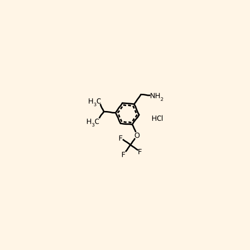 CC(C)c1cc(CN)cc(OC(F)(F)F)c1.Cl